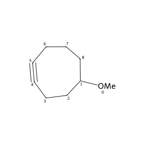 COC1CCC#CCCC1